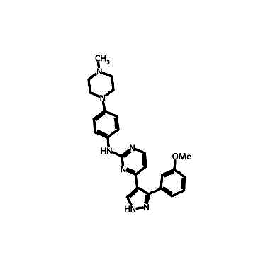 COc1cccc(-c2n[nH]cc2-c2ccnc(Nc3ccc(N4CCN(C)CC4)cc3)n2)c1